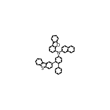 c1ccc(-c2ccc(N(c3ccc4ccccc4c3)c3cccc4c3oc3ccccc34)cc2-c2ccc3sc4ccccc4c3c2)cc1